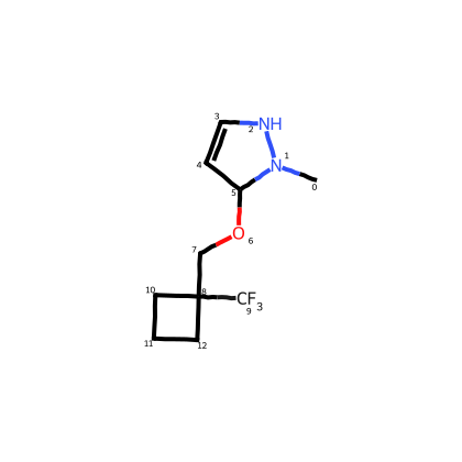 CN1NC=CC1OCC1(C(F)(F)F)CCC1